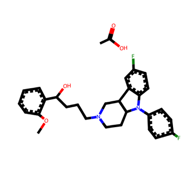 CC(=O)O.COc1ccccc1C(O)CCCN1CCC2C(C1)c1cc(F)ccc1N2c1ccc(F)cc1